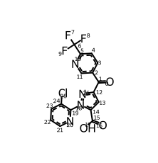 O=C(c1ccc(C(F)(F)F)nc1)c1cc(C(=O)O)n(-c2ncccc2Cl)n1